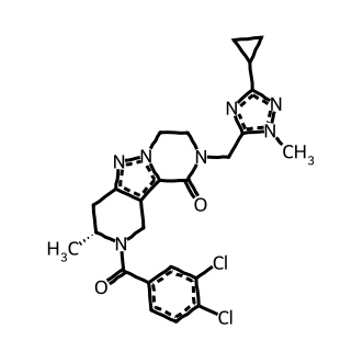 C[C@@H]1Cc2nn3c(c2CN1C(=O)c1ccc(Cl)c(Cl)c1)C(=O)N(Cc1nc(C2CC2)nn1C)CC3